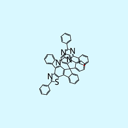 c1ccc(-c2nc(-c3ccccc3)nc(-n3c4ccccc4c4c5nc(-c6ccccc6)sc5c5c(c43)C3(c4ccccc4-c4ccccc43)c3ccccc3-5)n2)cc1